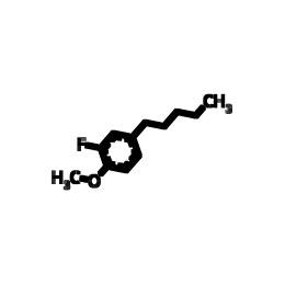 CCCCCc1ccc(OC)c(F)c1